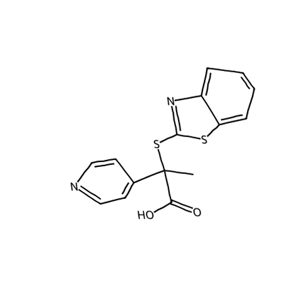 CC(Sc1nc2ccccc2s1)(C(=O)O)c1ccncc1